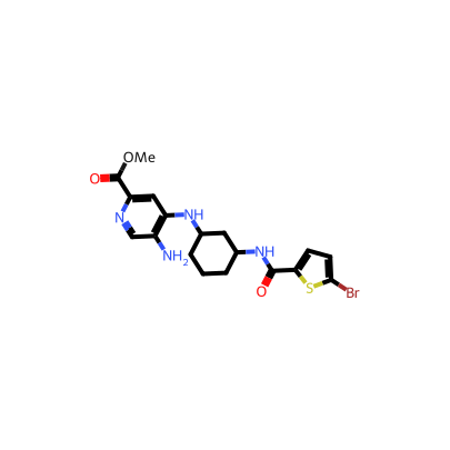 COC(=O)c1cc(NC2CCCC(NC(=O)c3ccc(Br)s3)C2)c(N)cn1